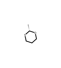 C[C@@H]1OCCCS1